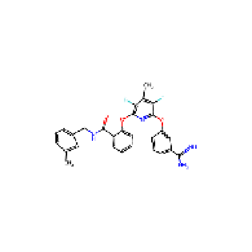 Cc1cccc(CNC(=O)c2ccccc2Oc2nc(Oc3cccc(C(=N)N)c3)c(F)c(C)c2F)c1